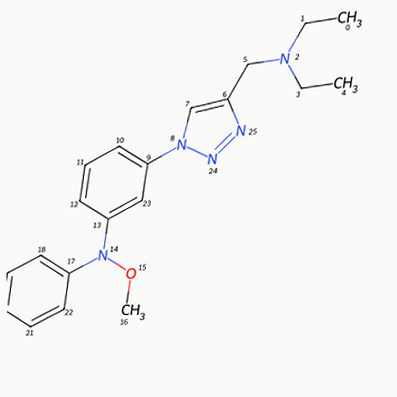 CCN(CC)Cc1cn(-c2cccc(N(OC)c3ccccc3)c2)nn1